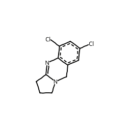 Clc1cc(Cl)c2c(c1)CN1CCCC1=N2